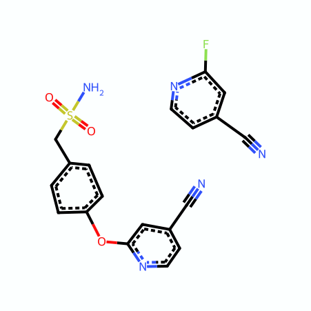 N#Cc1ccnc(F)c1.N#Cc1ccnc(Oc2ccc(CS(N)(=O)=O)cc2)c1